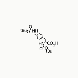 CC(C)(C)OC(=O)NCc1ccc(CC(NC(=O)OC(C)(C)C)C(=O)O)cc1